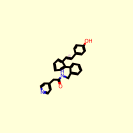 O=C(Cc1ccncc1)NCc1ccccc1-c1ccccc1/C=C/c1ccc(O)cc1